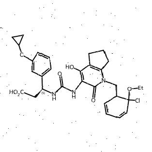 CCOC1(Cl)C=CC=CC1Cn1c2c(c(O)c(NC(=O)N[C@@H](CC(=O)O)c3cccc(OC4CC4)c3)c1=O)CCC2